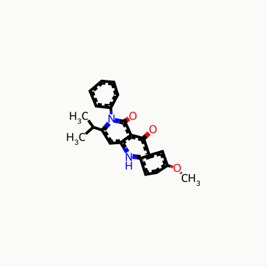 COc1ccc2[nH]c3cc(C(C)C)n(-c4ccccc4)c(=O)c3c(=O)c2c1